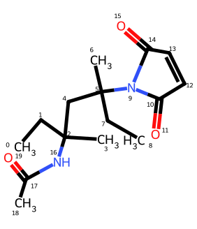 CCC(C)(CC(C)(CC)N1C(=O)C=CC1=O)NC(C)=O